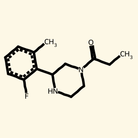 CCC(=O)N1CCNC(c2c(C)cccc2F)C1